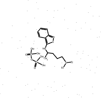 CCN(CC)CCCC(C)Nc1snc2ccccc12.O=P(O)(O)OP(=O)(O)O